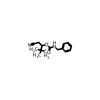 CC(C)(C)C(CC#N)OC(=O)NCc1ccccc1